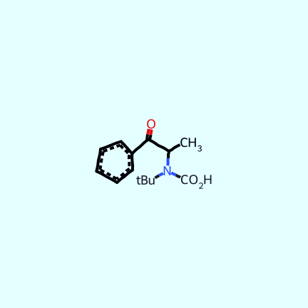 CC(C(=O)c1ccccc1)N(C(=O)O)C(C)(C)C